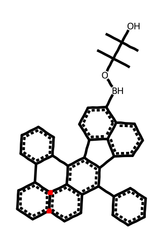 CC(C)(O)C(C)(C)OBc1ccc2c3c(cccc13)-c1c-2c(-c2ccccc2-c2ccccc2)c2ccccc2c1-c1ccccc1